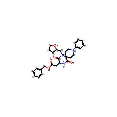 O=C(CC1NC(=O)C2(CCN(c3ccccc3)CC2)N(CC2CCCO2)C1=O)OCc1ccccc1